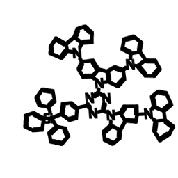 c1ccc([Si](c2ccccc2)(c2ccccc2)c2ccc(-c3nc(-n4c5ccccc5c5cc(-n6c7ccccc7c7ccccc76)ccc54)nc(-n4c5ccc(-n6c7ccccc7c7ccccc76)cc5c5cc(-n6c7ccccc7c7ccccc76)ccc54)n3)cc2)cc1